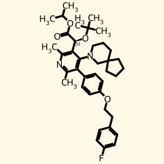 Cc1nc(C)c([C@H](OC(C)(C)C)C(=O)OC(C)C)c(N2CCCC3(CCCC3)C2)c1-c1ccc(OCCc2ccc(F)cc2)cc1